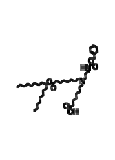 CCCCCCCCC(CCCCCCCC)OC(=O)CCCCCCCN(CCCCCCCC(=O)O)CCCNC(=O)OCc1ccccc1